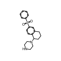 O=S(=O)(c1ccccc1)c1ccc2c(c1)CCCC2N1CCNCC1